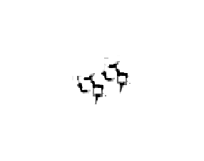 Cc1ncc2c(=O)[nH]ccn12.Cc1ncc2c(=O)[nH]ccn12